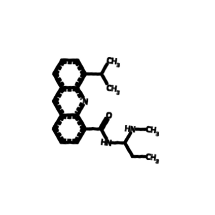 CCC(NC)NC(=O)c1cccc2cc3cccc(C(C)C)c3nc12